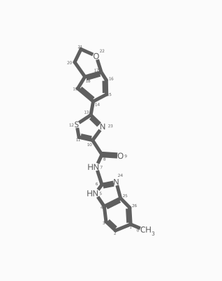 Cc1ccc2[nH]c(NC(=O)c3csc(-c4ccc5c(c4)CCO5)n3)nc2c1